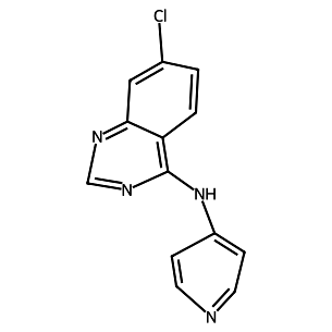 Clc1ccc2c(Nc3ccncc3)ncnc2c1